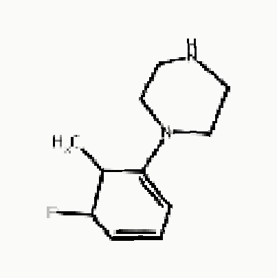 CC1C(N2CCNCC2)=CC=CC1F